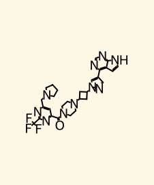 O=C(c1cc(CN2CCCC2)nc(C(F)(F)F)n1)N1CCN(C2CC(n3cc(-c4ncnc5[nH]ccc45)cn3)C2)CC1